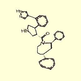 O=C([C@@H]1CNCC1c1ccccc1-c1cn[nH]c1)N1CC[C@@H](c2ccccc2)C[C@@H]1c1ccccc1